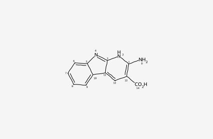 Nc1[nH]c2nc3ccccc3c-2cc1C(=O)O